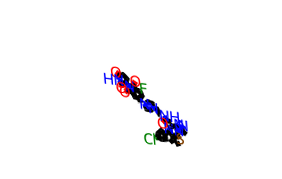 Cc1sc2c(c1C)C(c1ccc(Cl)cc1)=N[C@@H](CC(=O)NCCN1CCN(Cc3cc(F)c4c(c3)C(=O)N(C3CCC(=O)NC3=O)C4=O)CC1)c1nnc(C)n1-2